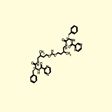 CC(CCOBOCCC(C)CNC(=O)[C@H](Cc1ccccc1)NC(=O)c1cnccn1)CNC(=O)[C@H](Cc1ccccc1)NC(=O)c1cnccn1